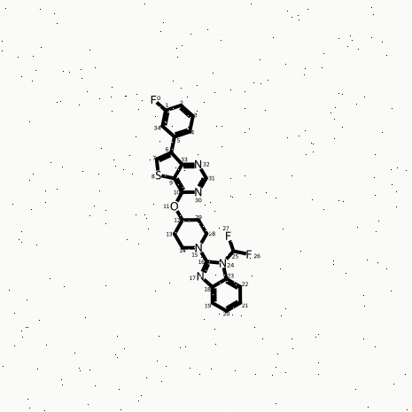 Fc1cccc(-c2csc3c(OC4CCN(c5nc6ccccc6n5C(F)F)CC4)ncnc23)c1